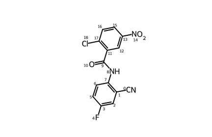 N#Cc1cc(F)ccc1NC(=O)c1cc([N+](=O)[O-])ccc1Cl